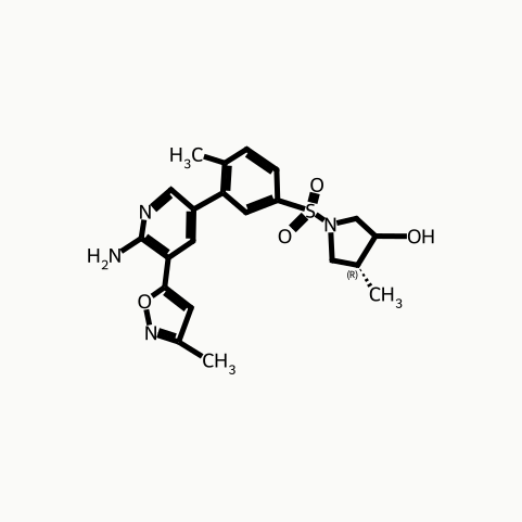 Cc1cc(-c2cc(-c3cc(S(=O)(=O)N4CC(O)[C@H](C)C4)ccc3C)cnc2N)on1